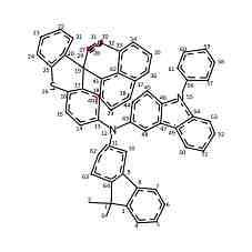 CC1(C)c2ccccc2-c2cc(N(c3ccc4c(c3)C3(c5ccccc5S4)c4ccccc4-c4cccc5cccc3c45)c3ccc4c(c3)c3ccccc3n4-c3ccccc3)ccc21